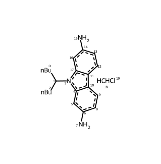 CCCCC(CCCC)n1c2cc(N)ccc2c2ccc(N)cc21.Cl.Cl